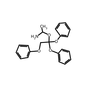 CC(N)OC(COc1ccccc1)(Oc1ccccc1)Oc1ccccc1